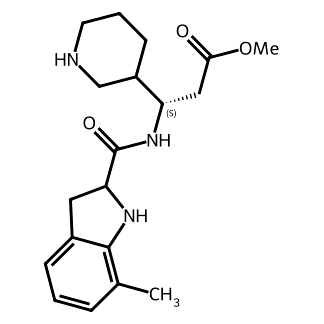 COC(=O)C[C@H](NC(=O)C1Cc2cccc(C)c2N1)C1CCCNC1